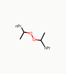 CCCC(C)OOC(C)CCC